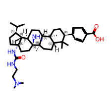 CC(C)[C@@H]1CC[C@]2(NC(=O)NCCN(C)C)CC[C@]3(N)[C@H](CC[C@@H]4[C@@]5(C)CC[C@@H](c6ccc(C(=O)O)cc6)C(C)(C)[C@@H]5CC[C@]43C)[C@@H]12